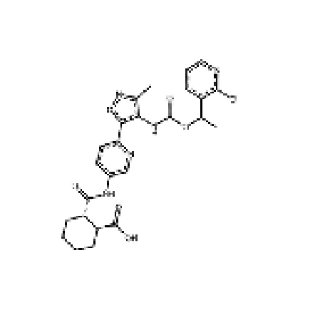 Cc1noc(-c2ccc(NC(=O)[C@H]3CCCC[C@@H]3C(=O)O)cn2)c1NC(=O)OC(C)c1cccnc1Cl